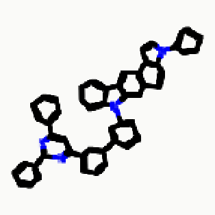 c1ccc(-c2cc(-c3cccc(-c4cccc(-n5c6ccccc6c6cc7c(ccc8c7ccn8-c7ccccc7)cc65)c4)c3)nc(-c3ccccc3)n2)cc1